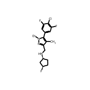 CCn1nc(CN[C@H]2CC[C@@H](F)C2)c(C)c1-c1cc(F)c(Cl)c(F)c1